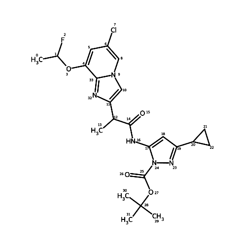 CC(F)Oc1cc(Cl)cn2cc(C(C)C(=O)Nc3cc(C4CC4)nn3C(=O)OC(C)(C)C)nc12